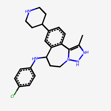 CC1=C2c3ccc(C4CCNCC4)cc3C(Nc3ccc(Cl)cc3)CCN2NN1